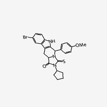 COc1ccc(C2c3[nH]c4ccc(Br)cc4c3CC3C(=O)N(C4CCCC4)C(=S)N32)cc1